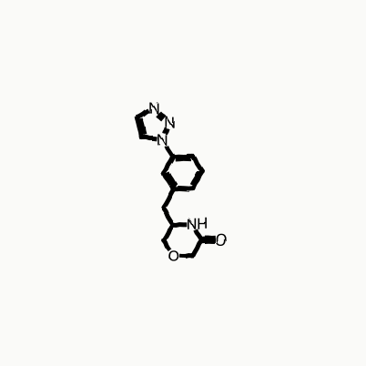 O=C1COCC(Cc2cccc(-n3ccnn3)c2)N1